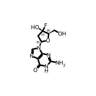 Nc1nc2c(ncn2[C@H]2C[C@](O)(F)[C@@H](CO)O2)c(=O)[nH]1